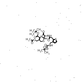 CC(=O)OCC1=C(C(=O)OC(C)(C)C)N2C(=O)[C@@H](NC(=O)Cc3sccc3CNC(=O)OC(C)(C)C)[C@@H]2SC1